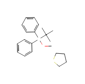 CC(C)(C)[Si](OC[C@@H]1C[CH]CS1)(c1ccccc1)c1ccccc1